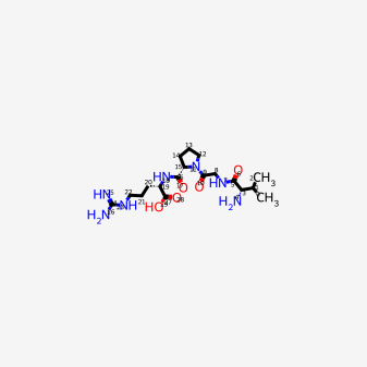 CC(C)[C@H](N)C(=O)NCC(=O)N1CCC[C@H]1C(=O)N[C@@H](CCCNC(=N)N)C(=O)O